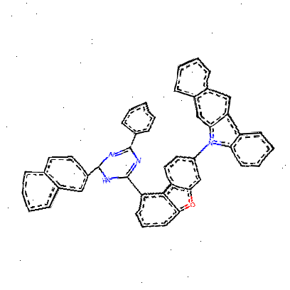 c1ccc(C2=NC(c3ccc4ccccc4c3)NC(c3cccc4oc5cc(-n6c7ccccc7c7cc8ccccc8cc76)ccc5c34)=N2)cc1